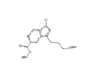 COCCCn1cc(Cl)c2cnc(C(=O)OC(C)(C)C)cc21